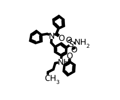 CCCCNc1cc(CN(Cc2ccccc2)C(=O)c2ccccc2)cc(S(N)(=O)=O)c1Oc1ccccc1